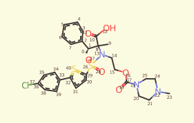 C[C@@H](c1ccccc1)C(C)(C(=O)O)N(CCOC(=O)N1CCN(C)CC1)S(=O)(=O)c1ccc(-c2ccc(Cl)cc2)s1